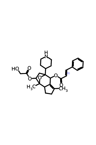 CC1=C2C(CC1)C1(C)OC(C3CCNCC3)(CC1OC(=O)CO)C2OC(=O)/C=C/c1ccccc1